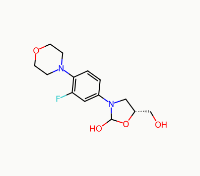 OC[C@H]1CN(c2ccc(N3CCOCC3)c(F)c2)C(O)O1